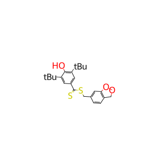 CC(C)(C)c1cc(C(=S)SCc2ccc3c(c2)OOC3)cc(C(C)(C)C)c1O